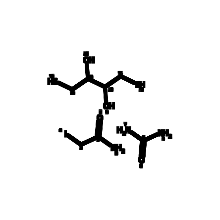 NC(=O)CI.NC(N)=O.OC(CS)C(O)CS